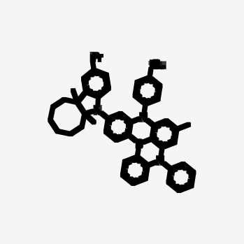 Cc1cc2c3c(c1)N(c1ccc(C(C)(C)C)cc1)c1cc(N4c5ccc(C(C)C)cc5C5(C)CCCCCCC45C)ccc1B3c1ccccc1N2c1ccccc1